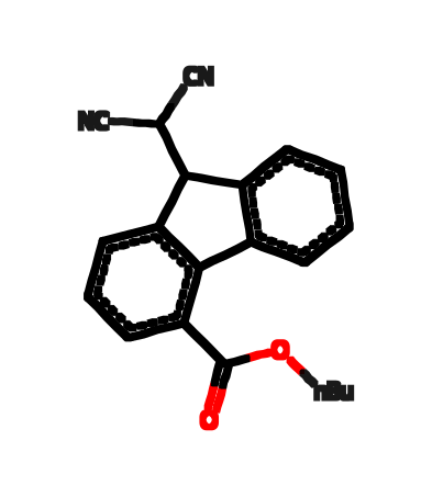 CCCCOC(=O)c1cccc2c1-c1ccccc1C2C(C#N)C#N